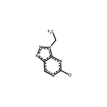 FC(F)(F)Cn1nnc2cnc(Cl)nc21